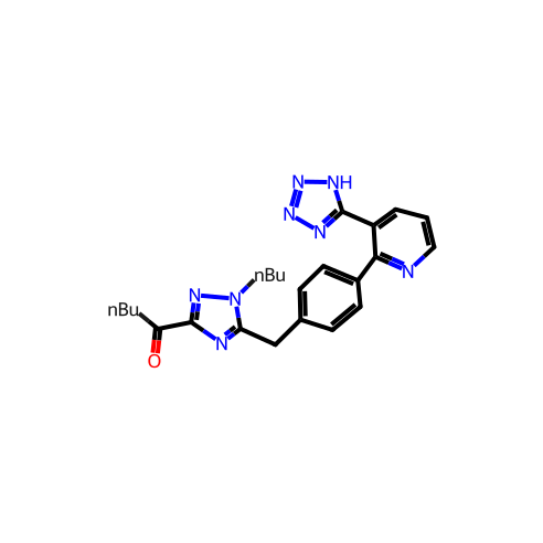 CCCCC(=O)c1nc(Cc2ccc(-c3ncccc3-c3nnn[nH]3)cc2)n(CCCC)n1